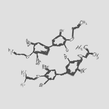 C=CCOc1c(Br)cc(-c2cc(Br)c(OCC=C)c(Br)c2)cc1Br.CC(C)=COc1c(Br)cc(Cc2cc(Br)c(OC=C(C)C)c(Br)c2)cc1Br